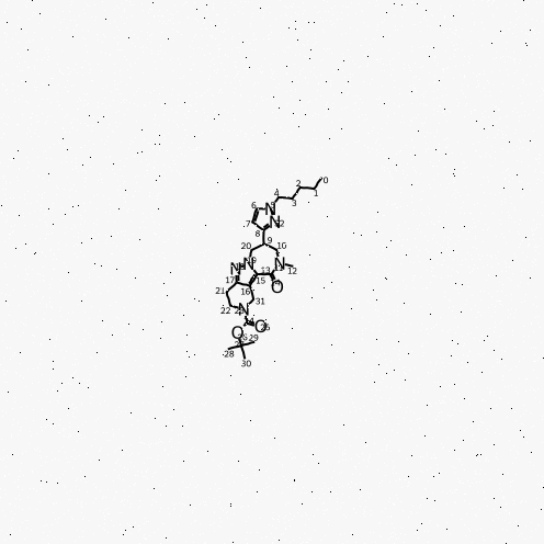 CCCCCn1ccc(C2CN(C)C(=O)c3c4c(nn3C2)CCN(C(=O)OC(C)(C)C)C4)n1